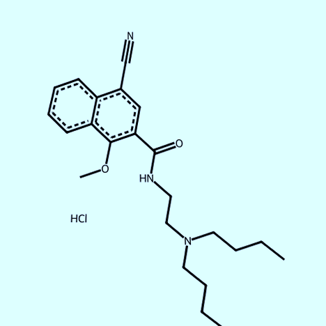 CCCCN(CCCC)CCNC(=O)c1cc(C#N)c2ccccc2c1OC.Cl